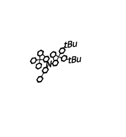 CC(C)(C)c1ccc(C2(c3ccc(C(C)(C)C)cc3)c3ccccc3-c3c(N(c4ccc(-c5ccccc5)cc4)c4ccc5c(c4)C(c4ccccc4)(c4ccccc4)c4ccccc4-5)cccc32)cc1